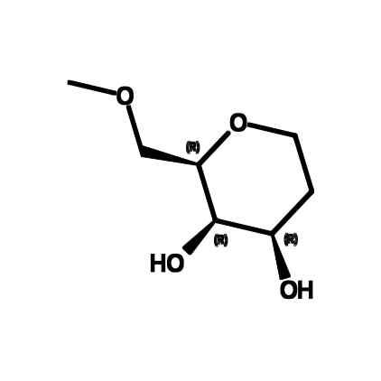 COC[C@H]1OCC[C@@H](O)[C@H]1O